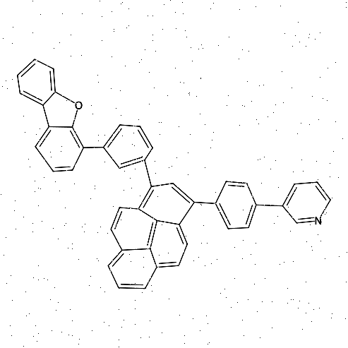 c1cncc(-c2ccc(-c3cc(-c4cccc(-c5cccc6c5oc5ccccc56)c4)c4ccc5cccc6ccc3c4c65)cc2)c1